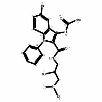 CCN(CC)CC(O)CNC(=O)c1c(OC(=O)C(C)(C)C)c2cc(Br)ccc2n1-c1ccccc1